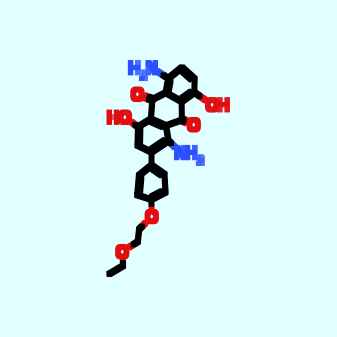 CCOCCOc1ccc(-c2cc(O)c3c(c2N)C(=O)c2c(O)ccc(N)c2C3=O)cc1